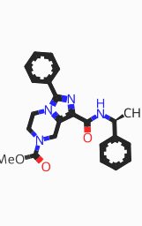 COC(=O)N1CCn2c(-c3ccccc3)nc(C(=O)N[C@@H](C)c3ccccc3)c2C1